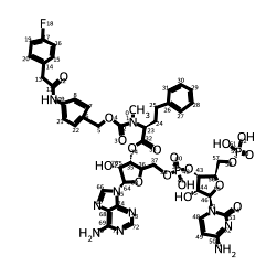 CN(C(=O)OCc1ccc(NC(=O)Cc2ccc(F)cc2)cc1)[C@@H](CCc1ccccc1)C(=O)O[C@@H]1C(COP(=O)(O)O[C@H]2[C@@H](O)[C@H](n3ccc(N)nc3=O)O[C@@H]2COP(=O)(O)O)O[C@@H](n2cnc3c(N)ncnc32)[C@@H]1O